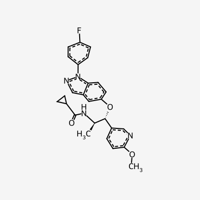 COc1ccc([C@@H](Oc2ccc3c(cnn3-c3ccc(F)cc3)c2)[C@@H](C)NC(=O)C2CC2)cn1